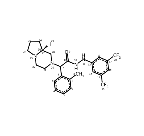 Cc1ccccc1C(C(=O)NNc1cc(C(F)(F)F)cc(C(F)(F)F)c1)N1CCN2CCC[C@@H]2C1